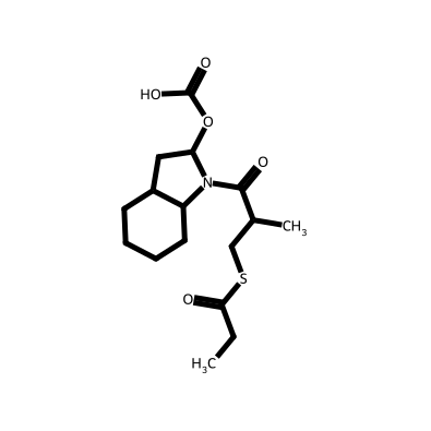 CCC(=O)SCC(C)C(=O)N1C(OC(=O)O)CC2CCCCC21